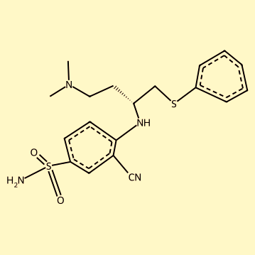 CN(C)CC[C@H](CSc1ccccc1)Nc1ccc(S(N)(=O)=O)cc1C#N